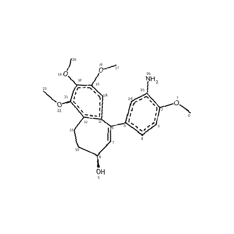 COc1ccc(C2=C[C@@H](O)CCc3c2cc(OC)c(OC)c3OC)cc1N